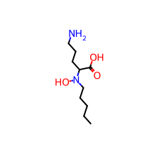 CCCCCN(O)C(CCCN)C(=O)O